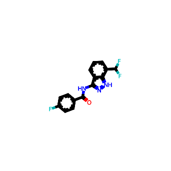 O=C(Nc1n[nH]c2c(C(F)F)cccc12)c1ccc(F)cc1